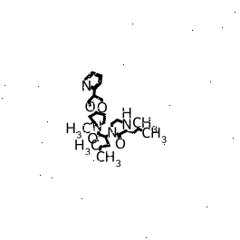 CC(C)CC(C(=O)N1CCC2(C[C@@H]1C)OCC(c1ccccn1)CO2)N1CCN[C@@H](CC(C)C)C1=O